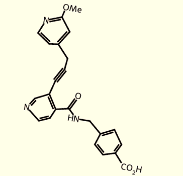 COc1cc(CC#Cc2cnccc2C(=O)NCc2ccc(C(=O)O)cc2)ccn1